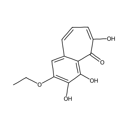 CCOc1cc2cccc(O)c(=O)c2c(O)c1O